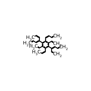 C=C/C=C\c1c(C=C)c(/C(C=C)=C/C=C)c(/C=C\C)c(C=C)c1C(/C=C\C)=C/C=C